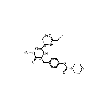 CC(C)C[C@H](NC(=O)CBr)C(=O)N[C@@H](Cc1ccc(OC(=O)N2CCOCC2)cc1)C(=O)OC(C)(C)C